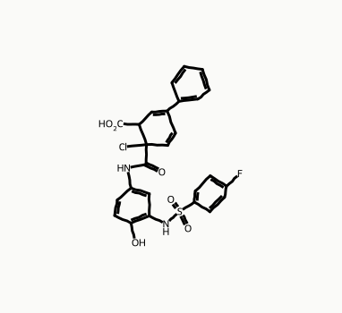 O=C(O)C1C=C(c2ccccc2)C=CC1(Cl)C(=O)Nc1ccc(O)c(NS(=O)(=O)c2ccc(F)cc2)c1